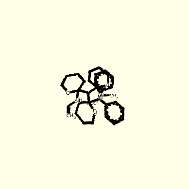 C=C[SiH2]C1(C(C2([SiH](C)C)CCCCO2)C2([SiH](c3ccccc3)c3ccccc3)CCCCO2)CCCCO1